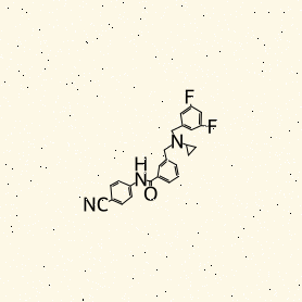 N#Cc1ccc(NC(=O)c2cccc(CN(Cc3cc(F)cc(F)c3)C3CC3)c2)cc1